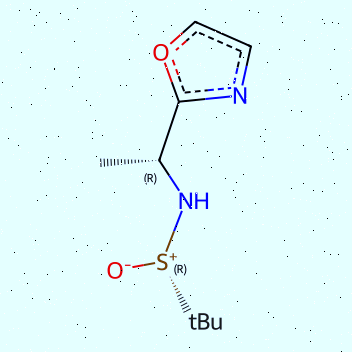 C[C@@H](N[S@@+]([O-])C(C)(C)C)c1ncco1